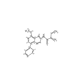 C=CC(=C)C(=O)Nc1cnc2c(-c3ccccc3)cnc(OC)c2n1